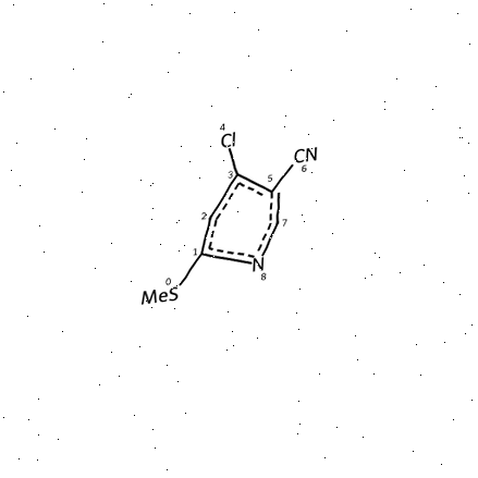 CSc1cc(Cl)c(C#N)cn1